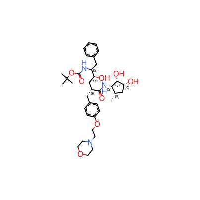 C[C@H]1C[C@@H](O)[C@@H](O)[C@H]1NC(=O)[C@H](Cc1ccc(OCCN2CCOCC2)cc1)C[C@H](O)[C@H](Cc1ccccc1)NC(=O)OC(C)(C)C